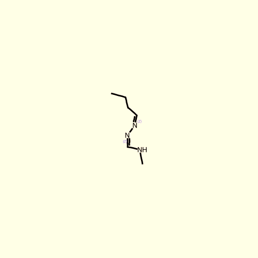 CCC/C=N\N=C/NC